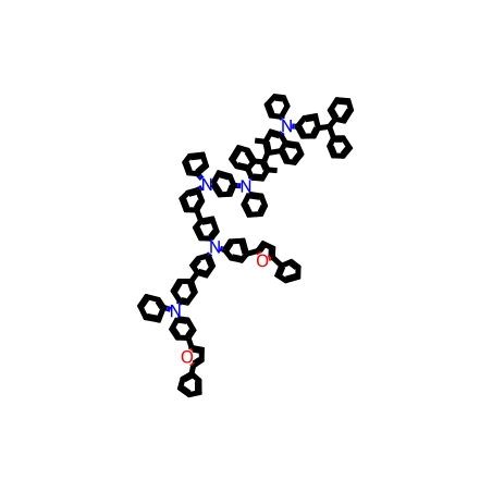 Cc1cc(N(c2ccccc2)c2ccc(N(c3ccccc3)c3cccc(-c4ccc(N(c5ccc(-c6ccc(N(c7ccccc7)c7ccc(-c8ccc(-c9ccccc9)o8)cc7)cc6)cc5)c5ccc(-c6ccc(-c7ccccc7)o6)cc5)cc4)c3)cc2)c2ccccc2c1-c1c(C)cc(N(c2ccc(C(c3ccccc3)c3ccccc3)cc2)C2C=CC=CC2)c2ccccc12